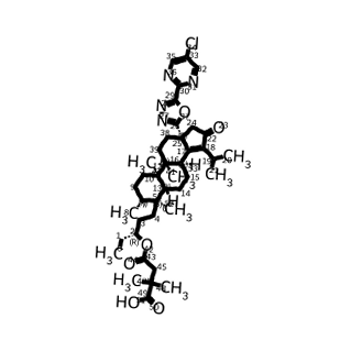 CC[C@H](CC[C@@]1(C)[C@H](C)CC[C@]2(C)[C@@H]1CC[C@@H]1C3=C(C(C)C)C(=O)C[C@]3(c3nnc(-c4ncc(Cl)cn4)o3)CC[C@]12C)OC(=O)CC(C)(C)C(=O)O